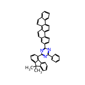 CC1(C)c2ccccc2-c2c(-c3nc(-c4ccccc4)nc(-c4ccc5c(ccc6c5ccc5c7ccccc7ccc56)c4)n3)cccc21